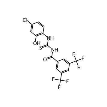 O=C(NC(=S)Nc1ccc(Cl)cc1O)c1cc(C(F)(F)F)cc(C(F)(F)F)c1